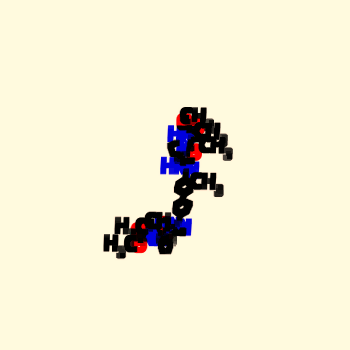 COC(=O)NC(C(=O)N1CCC[C@H]1c1cnc(-c2ccc(-c3ccc(-c4ncc([C@H]5C6CCC(C6)[C@@H]5C(=O)N(NC(=O)OC)C(C)C)[nH]4)cc3)cc2C)[nH]1)C(C)C